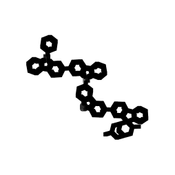 CC1CC2CC(C)C3(c4ccccc4-c4ccc(-c5ccc6oc7ccc(-n8c9ccccc9c9ccc(-c%10ccc%11c%12ccccc%12n(-c%12ccccc%12)c%11c%10)cc98)cc7c6c5)cc43)C(C1)C2